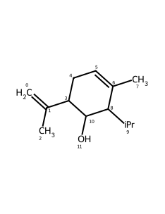 C=C(C)C1CC=C(C)C(C(C)C)C1O